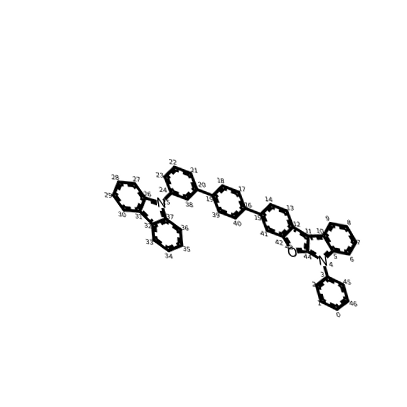 c1ccc(-n2c3ccccc3c3c4ccc(-c5ccc(-c6cccc(-n7c8ccccc8c8ccccc87)c6)cc5)cc4oc32)cc1